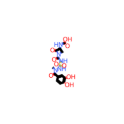 CN(NS(=O)(=O)NC(=O)N1CC(NC(=O)O)C1=O)C(=O)c1ccc(O)c(O)c1